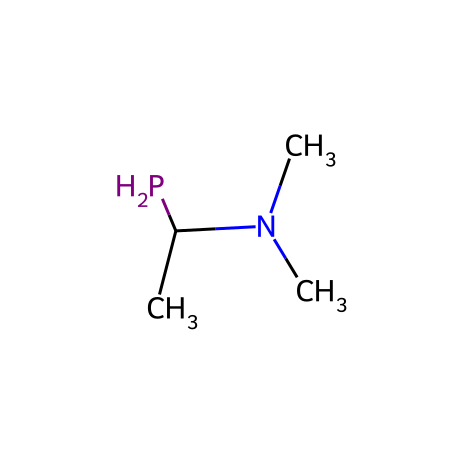 CC(P)N(C)C